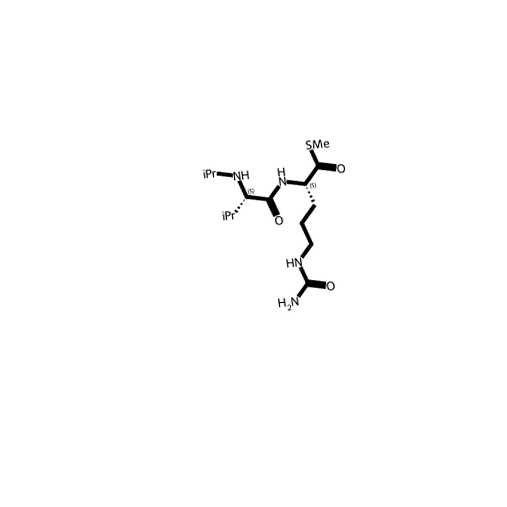 CSC(=O)[C@H](CCCNC(N)=O)NC(=O)[C@@H](NC(C)C)C(C)C